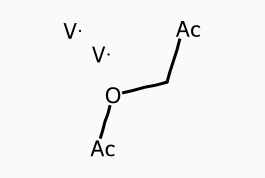 CC(=O)COC(C)=O.[V].[V]